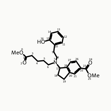 COC(=O)CCCCN(CCc1ccccc1O)C1CCc2cc(C(=O)OC)ccc21